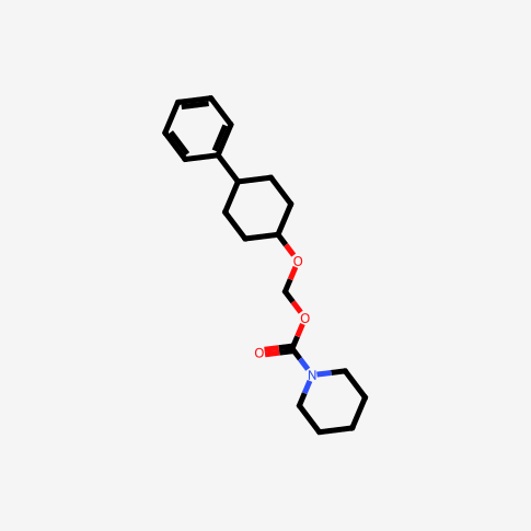 O=C(OCOC1CCC(c2ccccc2)CC1)N1CCCCC1